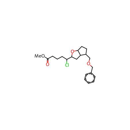 COC(=O)CCCC(Cl)C1CC2C(COCc3ccccc3)CCC2O1